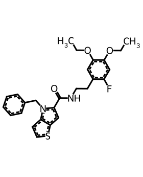 CCOc1cc(F)c(CCNC(=O)c2cc3sccc3n2Cc2ccccc2)cc1OCC